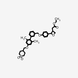 CCOC(=O)CC1COC1c1ccc(OCc2cccc(-c3c(C)cc(OCC4CCS(=O)(=O)CC4)cc3C)c2)cc1